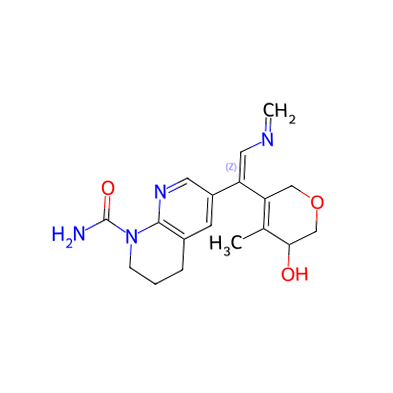 C=N/C=C(\C1=C(C)C(O)COC1)c1cnc2c(c1)CCCN2C(N)=O